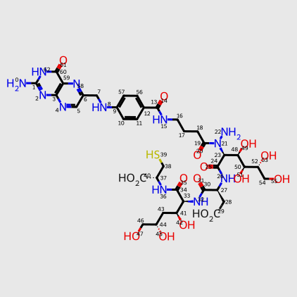 Nc1nc2ncc(CNc3ccc(C(=O)NCCCC(=O)N(N)[C@H](C(=O)N[C@@H](CC(=O)O)C(=O)N[C@H](C(=O)N[C@@H](CS)C(=O)O)[C@@H](O)C[C@H](O)CO)[C@@H](O)[C@H](O)[C@H](O)CO)cc3)nc2c(=O)[nH]1